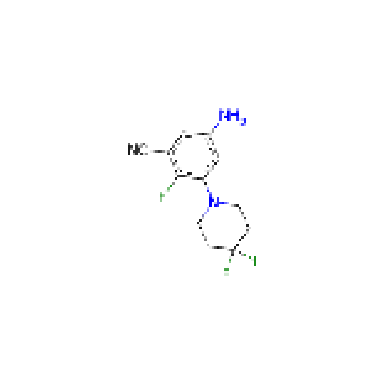 N#Cc1cc(N)cc(N2CCC(F)(F)CC2)c1F